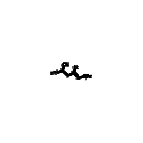 CCCC(C#N)C/C(CC)=N/OC(C)=O